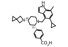 Cc1cc(C2CC2)c(CN2CC[C@@H](N3CC4(CC4)C3)C[C@H]2c2ccc(C(=O)O)cc2)c2cc[nH]c12